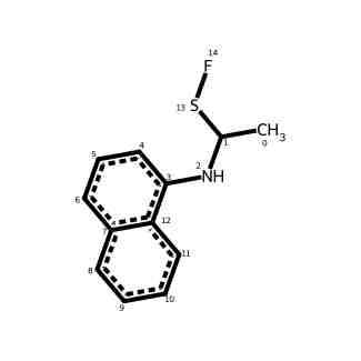 CC(Nc1cccc2ccccc12)SF